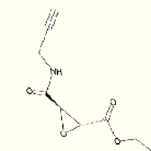 C#CCNC(=O)[C@@H]1O[C@H]1C(=O)OCC